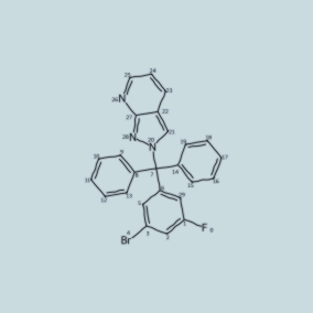 Fc1cc(Br)cc(C(c2ccccc2)(c2ccccc2)n2cc3cccnc3n2)c1